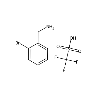 NCc1ccccc1Br.O=S(=O)(O)C(F)(F)F